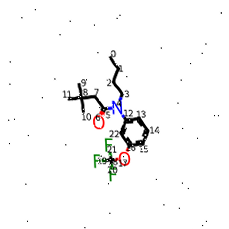 CCCCN(C(=O)CC(C)(C)C)c1cccc(OC(F)(F)F)c1